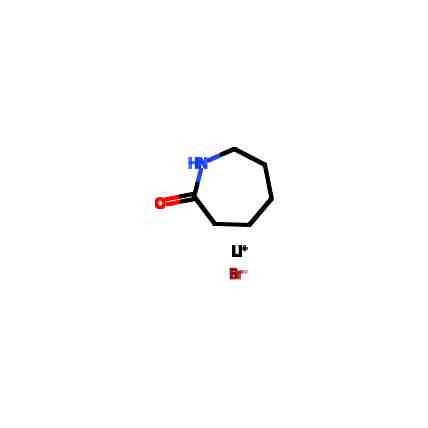 O=C1CCCCCN1.[Br-].[Li+]